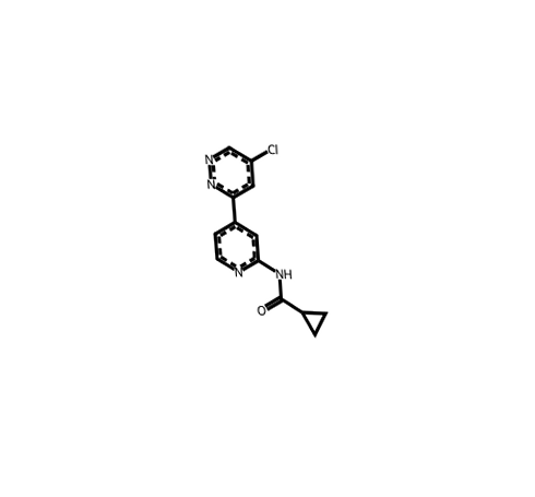 O=C(Nc1cc(-c2cc(Cl)cnn2)ccn1)C1CC1